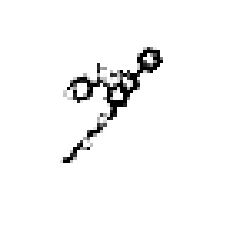 CCCOCCOCc1cc(NC2CCOCC2)c2[nH]c(-c3ccccc3)cc2c1